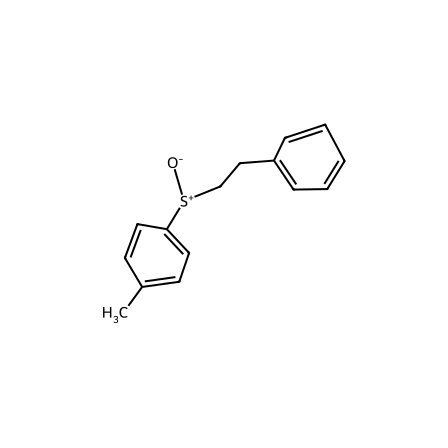 Cc1ccc([S+]([O-])CCc2ccccc2)cc1